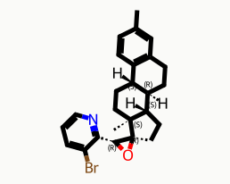 Cc1ccc2c(c1)CC[C@@H]1[C@@H]2CC[C@@]2(C)[C@H]1CC[C@@]21O[C@@H]1c1ncccc1Br